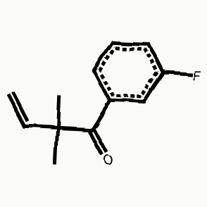 C=CC(C)(C)C(=O)c1cccc(F)c1